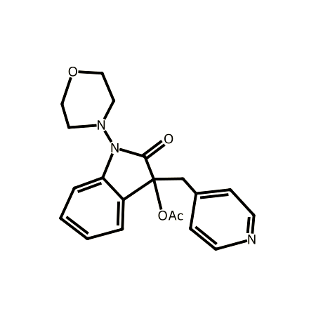 CC(=O)OC1(Cc2ccncc2)C(=O)N(N2CCOCC2)c2ccccc21